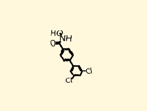 O=C(NO)c1ccc(-c2cc(Cl)cc(Cl)c2)cc1